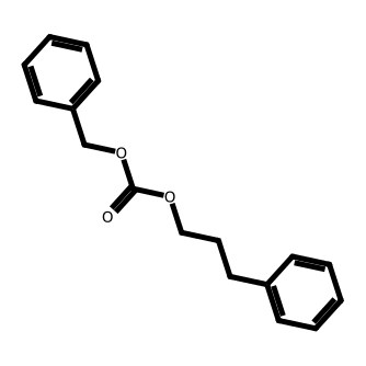 O=C(OCCCc1ccccc1)OCc1ccccc1